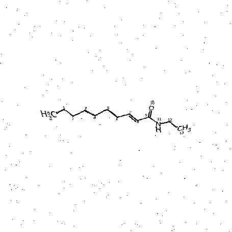 CCCCCCC/C=C/C(=O)NCC